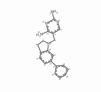 Nc1ncc(CN2CCc3ccc(-c4ccccc4)cc32)c(N)n1